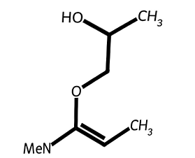 CC=C(NC)OCC(C)O